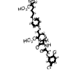 CC(N)(CCCC[n+]1ccc(SCC2=C(C(=O)O)N3C(=O)[C@H](NC(=O)CSc4cc(Cl)ccc4Cl)[C@H]3SC2)cc1)C(=O)O